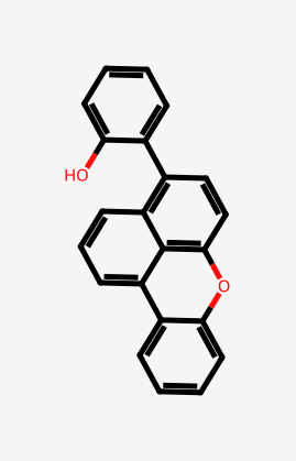 Oc1ccccc1-c1ccc2c3c(cccc13)-c1ccccc1O2